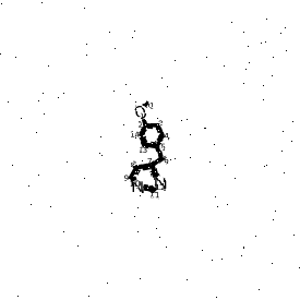 COc1ccc(Cc2ccncn2)cc1